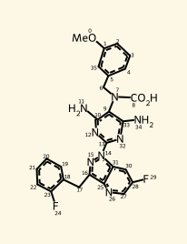 COc1cccc(CN(C(=O)O)c2c(N)nc(-n3nc(Cc4ccccc4F)c4ncc(F)cc43)nc2N)c1